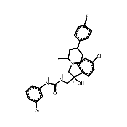 CC(=O)c1cccc(NC(=O)NC[C@](O)(CN2CCC(c3ccc(F)cc3)CC2C)c2ccc(Cl)cc2)c1